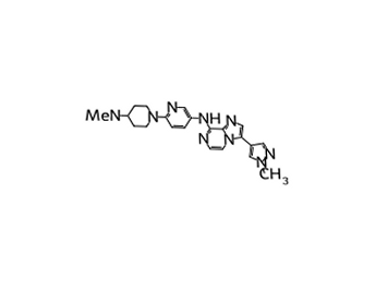 CNC1CCN(c2ccc(Nc3nccn4c(-c5cnn(C)c5)cnc34)cn2)CC1